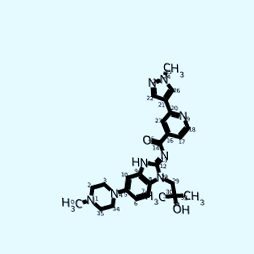 CN1CCN(c2ccc3c(c2)[nH]/c(=N\C(=O)c2ccnc(-c4cnn(C)c4)c2)n3CC(C)(C)O)CC1